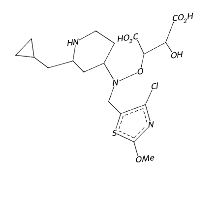 COc1nc(Cl)c(CN(OC(C(=O)O)C(O)C(=O)O)C2CCNC(CC3CC3)C2)s1